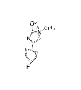 Cc1nc(-c2ccc(F)cc2)cn1C